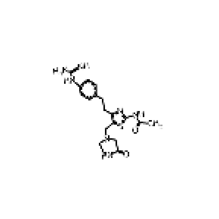 CC(=O)Nc1nc(CCc2ccc(NC(=N)N)cc2)c(CN2CCNC(=O)C2)s1